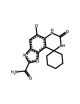 NC(=O)c1nc2cc(Cl)c3c(c2o1)C1(CCCCC1)NC(=O)N3